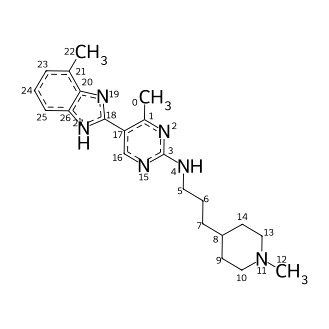 Cc1nc(NCCCC2CCN(C)CC2)ncc1-c1nc2c(C)cccc2[nH]1